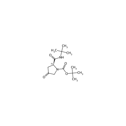 CC(C)(C)NC(=O)[C@@H]1CC(=O)CN1C(=O)OC(C)(C)C